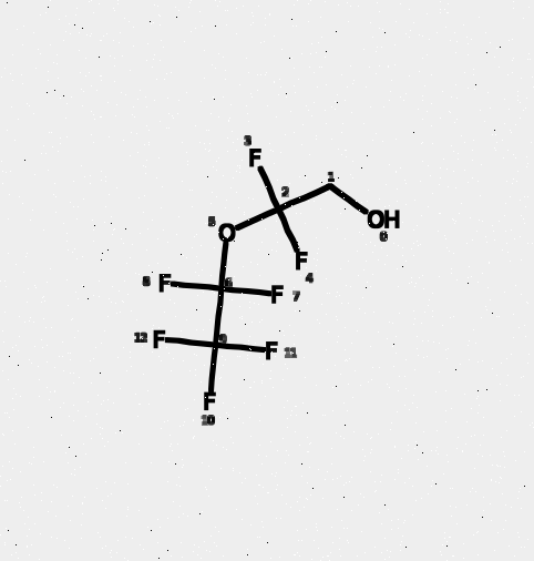 OCC(F)(F)OC(F)(F)C(F)(F)F